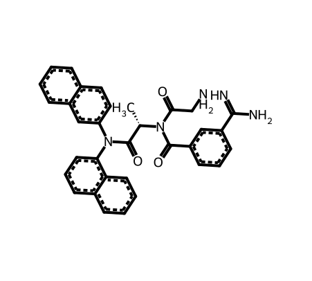 C[C@@H](C(=O)N(c1ccc2ccccc2c1)c1cccc2ccccc12)N(C(=O)CN)C(=O)c1cccc(C(=N)N)c1